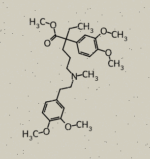 CCC(CCCN(C)CCc1ccc(OC)c(OC)c1)(C(=O)OC)c1ccc(OC)c(OC)c1